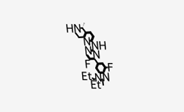 CCC(CC)n1c(C)nc2c(F)cc(-c3nc(Nc4ccc5c(n4)CCN[C@@H]5C)ncc3F)cc21